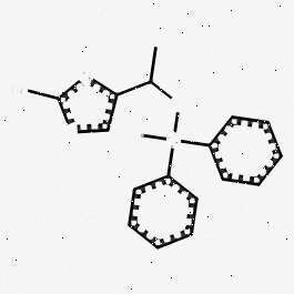 CC(O[Si](c1ccccc1)(c1ccccc1)C(C)(C)C)c1csc(Br)n1